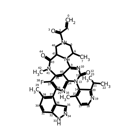 C=CC(=O)N1CC(C)N2c3nc(=O)n(-c4c(C)ccnc4C(C)C)c4nc(-c5c(C)ccc6[nH]ncc56)c(F)c(c34)N(C)C(=O)C2C1